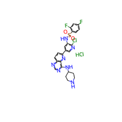 Cl.O=S(=O)(Nc1cc(-c2ccc3ncnc(NC4CCNCC4)c3n2)cnc1Cl)c1ccc(F)cc1F